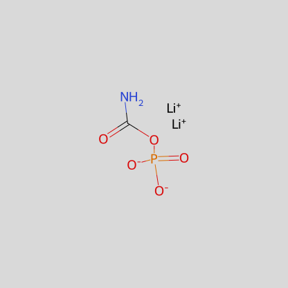 NC(=O)OP(=O)([O-])[O-].[Li+].[Li+]